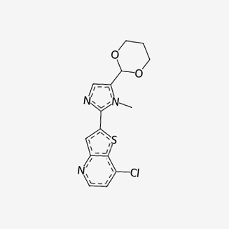 Cn1c(C2OCCCO2)cnc1-c1cc2nccc(Cl)c2s1